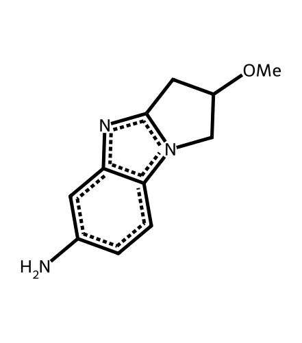 COC1Cc2nc3cc(N)ccc3n2C1